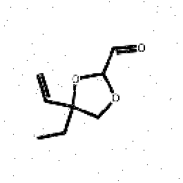 C=CC1(CC)COC(C=O)O1